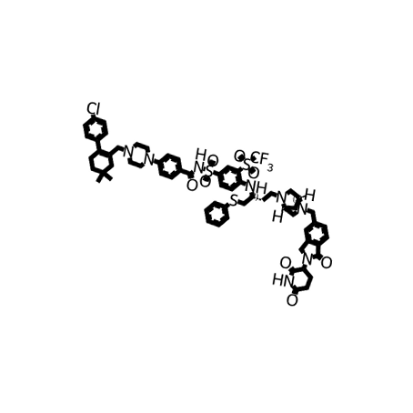 CC1(C)CCC(c2ccc(Cl)cc2)=C(CN2CCN(c3ccc(C(=O)NS(=O)(=O)c4ccc(N[C@H](CCN5C[C@@H]6C[C@H]5CN6Cc5ccc6c(c5)CN(C5CCC(=O)NC5=O)C6=O)CSc5ccccc5)c(S(=O)(=O)C(F)(F)F)c4)cc3)CC2)C1